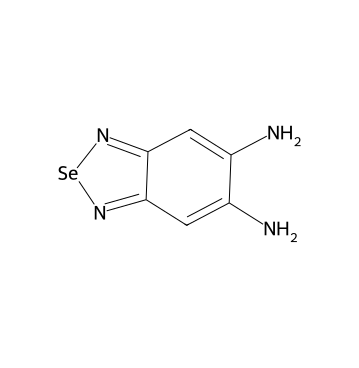 Nc1cc2n[se]nc2cc1N